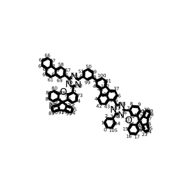 c1ccc(-c2nc(-c3cccc4c3Oc3ccccc3C43c4ccccc4-c4ccccc43)nc(-c3ccc4c5c(cccc35)-c3cc(-c5cccc(-c6nc(-c7ccc8c(ccc9ccccc98)c7)nc(-c7cccc8c7Oc7ccccc7C87c8ccccc8-c8ccccc87)n6)c5)ccc3-4)n2)cc1